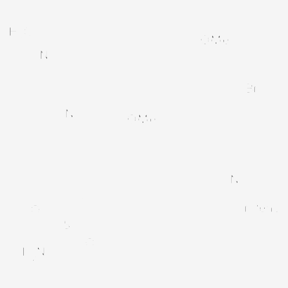 CCCCCN1CCc2ccc(OC)c(Br)c2C1.COc1ccc(S(N)(=O)=O)cc1N1CCN(C)CC1